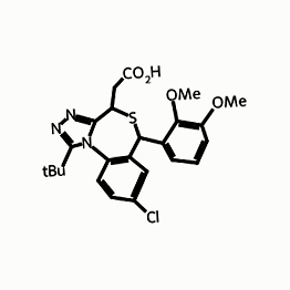 COc1cccc(C2SC(CC(=O)O)c3nnc(C(C)(C)C)n3-c3ccc(Cl)cc32)c1OC